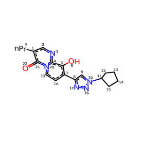 CCCc1cnc2c(O)c(-c3cn(C4CCCC4)nn3)ccn2c1=O